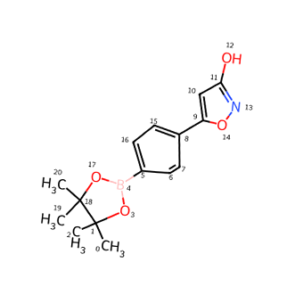 CC1(C)OB(c2ccc(-c3cc(O)no3)cc2)OC1(C)C